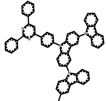 Cc1ccc2c(c1)c1ccccc1n2-c1ccc2c(c1)c1cc(-n3c4ccccc4c4ccccc43)ccc1n2-c1ccc(-c2cc(-c3ccccc3)nc(-c3ccccc3)n2)cc1